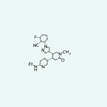 CCNc1ccc(-c2cc(=O)n(C)cc2-c2cnn(-c3cccc(F)c3C#N)c2)cn1